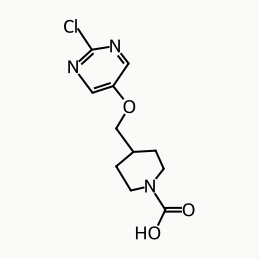 O=C(O)N1CCC(COc2cnc(Cl)nc2)CC1